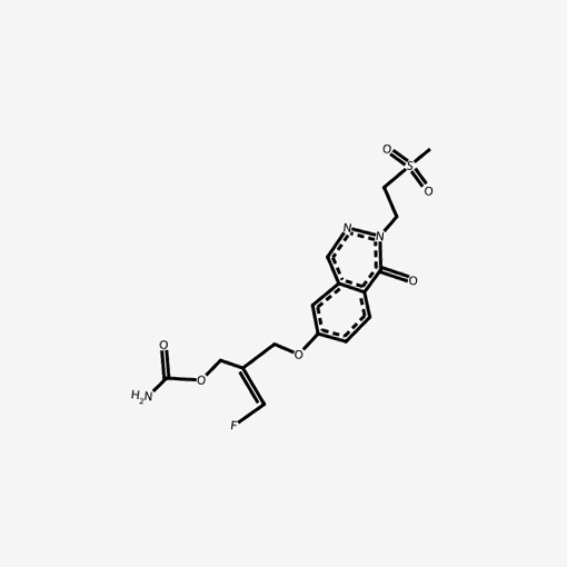 CS(=O)(=O)CCn1ncc2cc(OCC(=CF)COC(N)=O)ccc2c1=O